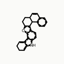 C1=CC2CCc3oc4c(ccc5[nH]c6c(c54)=CCCC=6)c3C2c2ccccc21